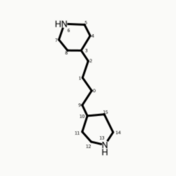 C(CCC1CCNCC1)CC1CCNCC1